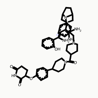 NC(N)=C(/C=C(\N)c1ccccc1O)N1CC2CCC(C1)N2c1cccc(CN2CCC(C(=O)N3CCC(c4ccc(OC5CCC(=O)NC5=O)cc4)CC3)CC2)c1